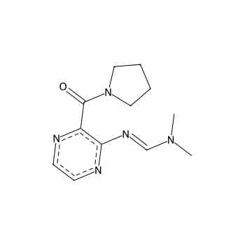 CN(C)C=Nc1nccnc1C(=O)N1CCCC1